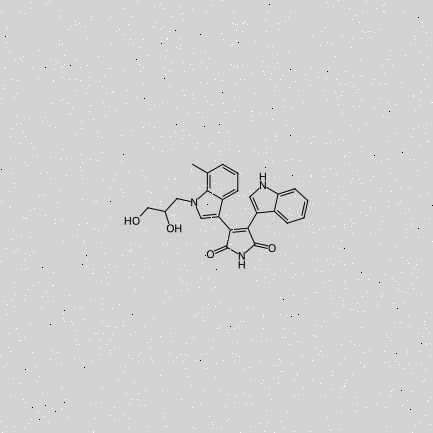 Cc1cccc2c(C3=C(c4c[nH]c5ccccc45)C(=O)NC3=O)cn(CC(O)CO)c12